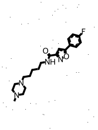 CN1CCN(CCCCCNC(=O)c2cc(-c3ccc(F)cc3)on2)CC1